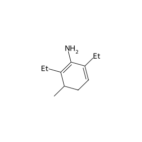 CCC1=CCC(C)C(CC)=C1N